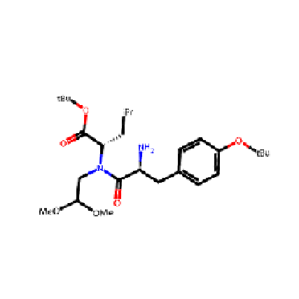 COC(CN(C(=O)[C@@H](N)Cc1ccc(OC(C)(C)C)cc1)[C@@H](CC(C)C)C(=O)OC(C)(C)C)OC